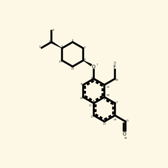 CC(C)[C@H]1CC[C@@H](Oc2ccc3ccc(C=O)cc3c2CF)CC1